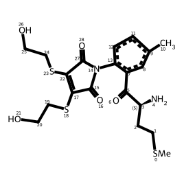 CSCC[C@H](N)C(=O)c1cc(C)ccc1N1C(=O)C(SCCO)=C(SCCO)C1=O